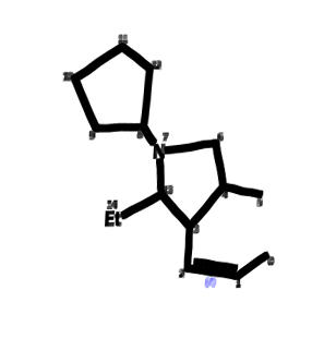 C/C=C\C1C(C)CN(C2CCCC2)C1CC